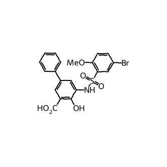 COc1ccc(Br)cc1S(=O)(=O)Nc1cc(-c2ccccc2)cc(C(=O)O)c1O